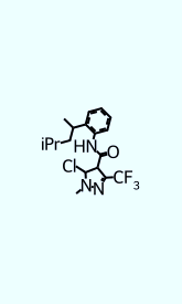 CC(C)CC(C)c1ccccc1NC(=O)C1C(C(F)(F)F)=NN(C)C1Cl